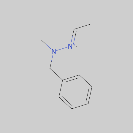 CC=[N+]N(C)Cc1ccccc1